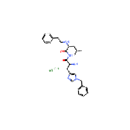 CC(C)C[C@H](NCCc1ccccc1)C(=O)NC(=O)[C@@H](N)Cc1cn(Cc2ccccc2)cn1.Cl.Cl